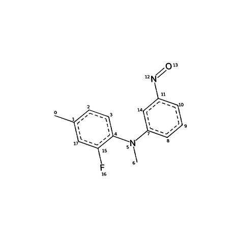 Cc1ccc(N(C)c2cccc(N=O)c2)c(F)c1